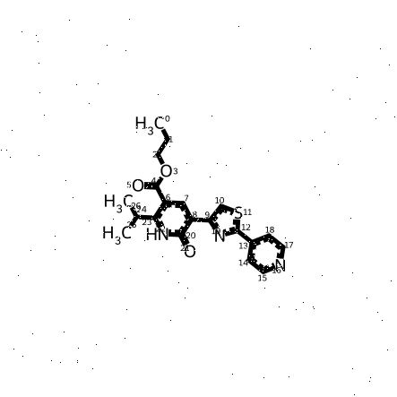 CCCOC(=O)c1cc(-c2csc(-c3ccncc3)n2)c(=O)[nH]c1C(C)C